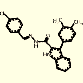 Cc1ccc(-c2c(C(=O)NN=Cc3ccc(Cl)cc3)[nH]c3ccccc23)cc1C